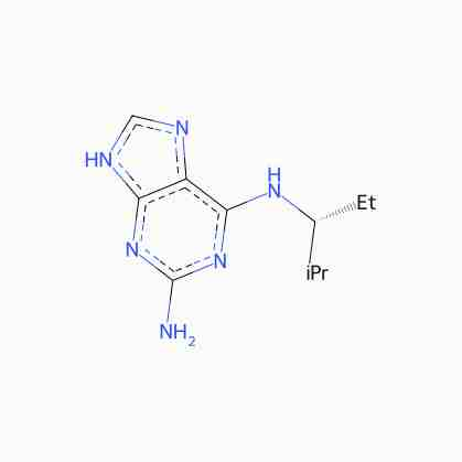 CC[C@@H](Nc1nc(N)nc2[nH]cnc12)C(C)C